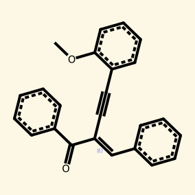 COc1ccccc1C#C/C(=C\c1ccccc1)C(=O)c1ccccc1